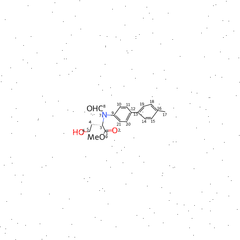 COC(=O)[C@H](CCO)N(C=O)c1ccc(-c2ccc(C)cc2)cc1